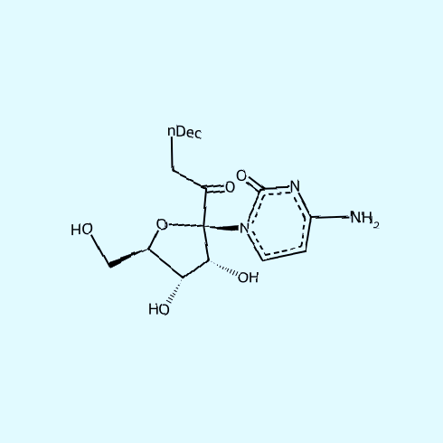 CCCCCCCCCCCC(=O)[C@@]1(n2ccc(N)nc2=O)O[C@H](CO)[C@@H](O)[C@H]1O